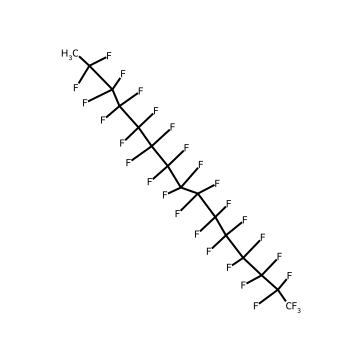 CC(F)(F)C(F)(F)C(F)(F)C(F)(F)C(F)(F)C(F)(F)C(F)(F)C(F)(F)C(F)(F)C(F)(F)C(F)(F)C(F)(F)C(F)(F)C(F)(F)F